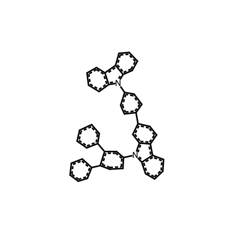 c1ccc(-c2ccc(-n3c4ccccc4c4ccc(-c5ccc(-n6c7ccccc7c7ccccc76)cc5)cc43)cc2-c2ccccc2)cc1